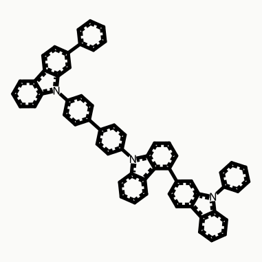 c1ccc(-c2ccc3c4ccccc4n(-c4ccc(-c5ccc(-n6c7ccccc7c7c(-c8ccc9c%10ccccc%10n(-c%10ccccc%10)c9c8)cccc76)cc5)cc4)c3c2)cc1